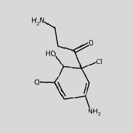 NCCC(=O)C1(Cl)C=C(N)C=C(Cl)C1O